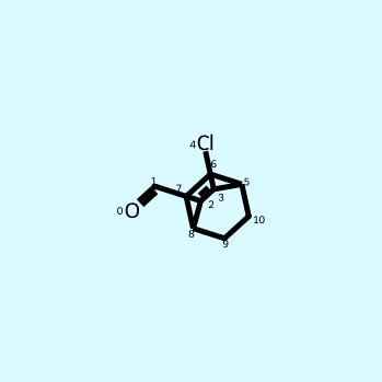 O=CC1=C(Cl)C2CCC1CC2